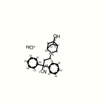 Cl.N#CC(CCN1CC2CCC1CC2O)(c1ccccc1)c1ccccc1